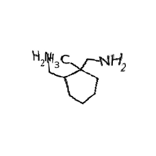 CC1(CN)CCCCC1CN